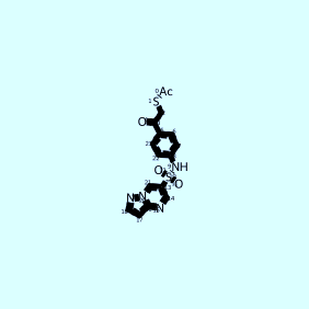 CC(=O)SCC(=O)c1ccc(NS(=O)(=O)c2cnc3ccnn3c2)cc1